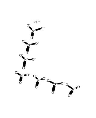 O=[N+]([O-])[O-].O=[N+]([O-])[O-].O=[N+]([O-])[O-].O=[N+]([O-])[O-].O=[N+]([O-])[O-].O=[N+]([O-])[O-].O=[N+]([O-])[O-].[Re+7]